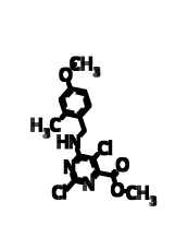 COC(=O)c1nc(Cl)nc(NCc2ccc(OC)cc2C)c1Cl